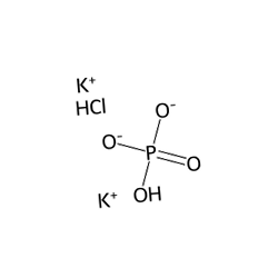 Cl.O=P([O-])([O-])O.[K+].[K+]